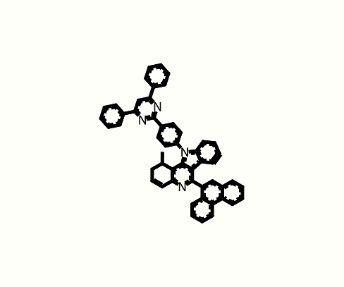 CC1CC=Cc2nc(-c3cc4ccccc4c4ccccc34)c3c4c#cccc4n(-c4ccc(-c5nc(-c6ccccc6)cc(-c6ccccc6)n5)cc4)c3c21